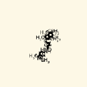 Cc1cc2c(cc1Oc1ccc(C(=O)NNc3ccc4c(C)nn(C)c4n3)o1)C(C)(C)CC(C)C2(C)C